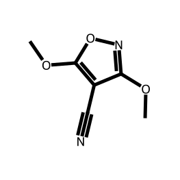 COc1noc(OC)c1C#N